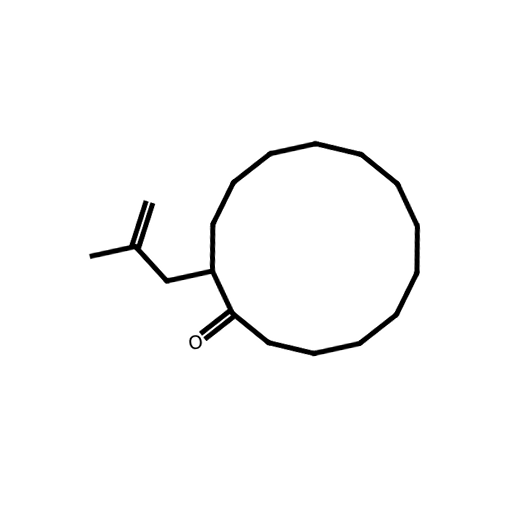 C=C(C)CC1CCCCCCCCCCCCC1=O